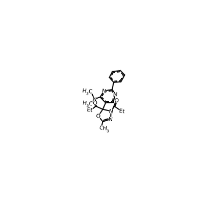 CCC(=O)N1N=C(C)OC1(C(=O)CC)c1cnc(-c2ccccc2)nc1N(C)C